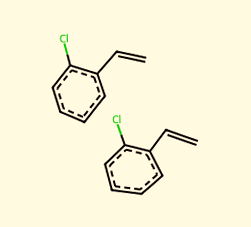 C=Cc1ccccc1Cl.C=Cc1ccccc1Cl